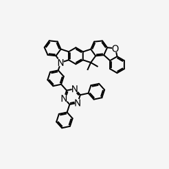 CC1(C)c2cc3c(cc2-c2ccc4oc5ccccc5c4c21)c1ccccc1n3-c1cccc(-c2nc(-c3ccccc3)nc(-c3ccccc3)n2)c1